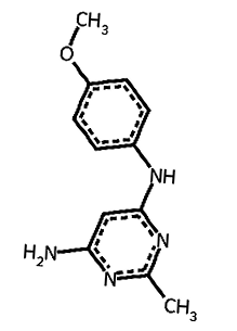 COc1ccc(Nc2cc(N)nc(C)n2)cc1